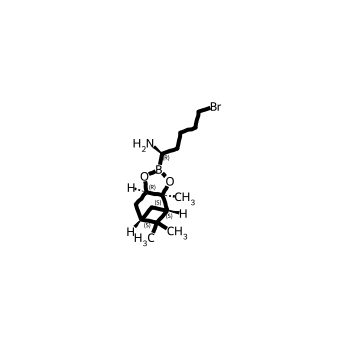 CC1(C)[C@@H]2C[C@H]3OB([C@@H](N)CCCCBr)O[C@@]3(C)[C@H]1C2